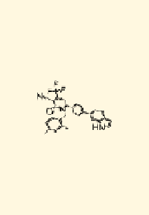 Cc1ccc(Cn2c(-c3ccc(-c4ccc5cc[nH]c5c4)cc3)cc(C(F)(F)F)c(C#N)c2=O)c(C)c1